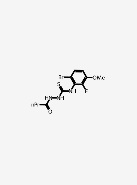 CCCC(=O)NNC(=S)Nc1c(Br)ccc(OC)c1F